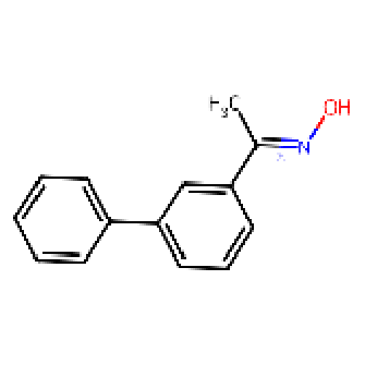 C/C(=N\O)c1cccc(-c2ccccc2)c1